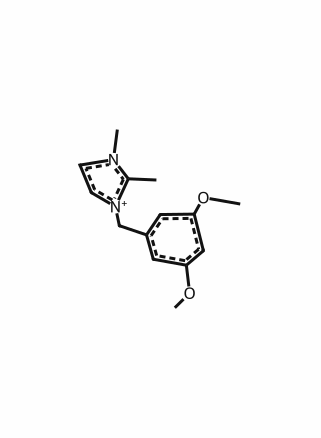 COc1cc(C[n+]2ccn(C)c2C)cc(OC)c1